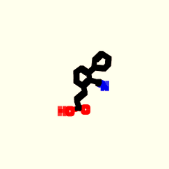 N#Cc1c(C=CC(=O)O)cccc1-c1ccccc1